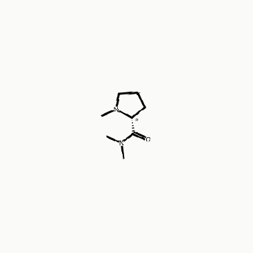 CN(C)C(=O)[C@H]1C[CH]CN1C